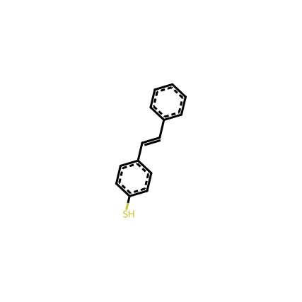 Sc1ccc(C=Cc2ccccc2)cc1